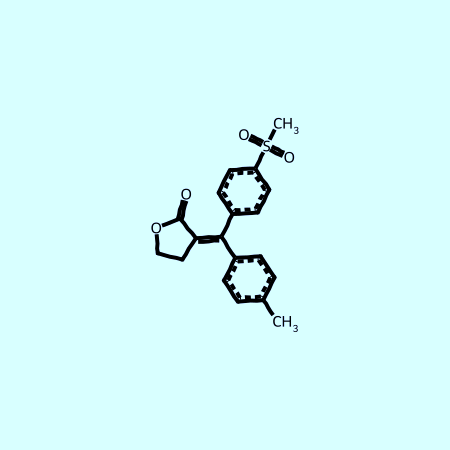 Cc1ccc(C(=C2CCOC2=O)c2ccc(S(C)(=O)=O)cc2)cc1